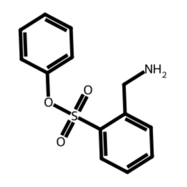 NCc1ccccc1S(=O)(=O)Oc1ccccc1